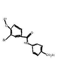 CCOC(=O)c1ccc(NC(=O)c2ccc(OCC)c(Br)c2)cc1